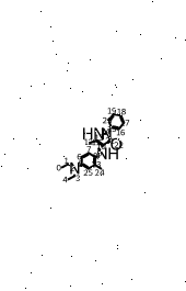 CCN(CC)c1ccc(Nc2c(C)[nH]n(-c3ccccc3)c2=O)c(C)c1